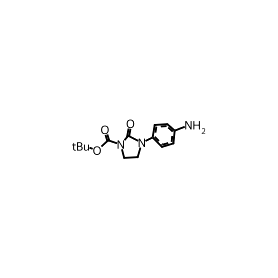 CC(C)(C)OC(=O)N1CCN(c2ccc(N)cc2)C1=O